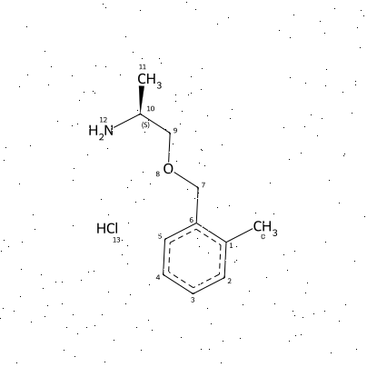 Cc1ccccc1COC[C@H](C)N.Cl